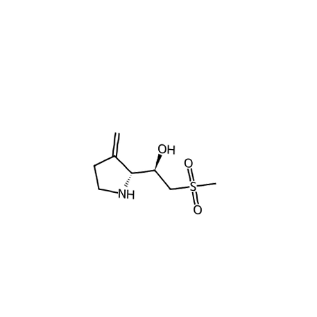 C=C1CCN[C@H]1[C@@H](O)CS(C)(=O)=O